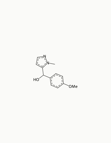 COc1ccc(C(O)c2ccnn2C)cc1